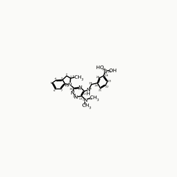 CC1Cc2ccccc2N1c1nnc(N(C)C)c(NCc2cccc(B(O)O)c2)n1